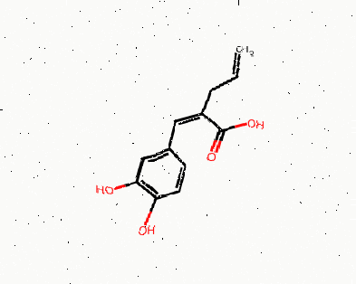 C=CCC(=Cc1ccc(O)c(O)c1)C(=O)O